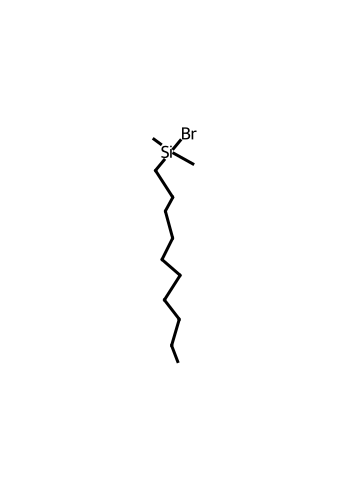 CCCCCCCCCC[Si](C)(C)Br